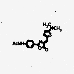 CC(=O)Nc1ccc(C2=N/C(=C\c3ccc(N(C)C)s3)C(=O)O2)cc1